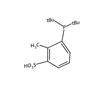 Cc1c(P(C(C)(C)C)C(C)(C)C)cccc1S(=O)(=O)O